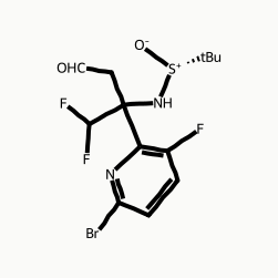 CC(C)(C)[S@@+]([O-])NC(CC=O)(c1nc(Br)ccc1F)C(F)F